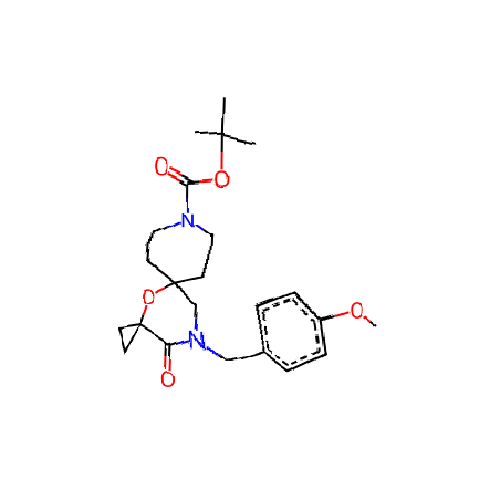 COc1ccc(CN2CC3(CCN(C(=O)OC(C)(C)C)CC3)OC3(CC3)C2=O)cc1